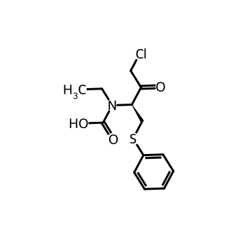 CCN(C(=O)O)[C@H](CSc1ccccc1)C(=O)CCl